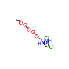 C#CCOCCOCCOCCOCCOCCCCC1(CCl)Nc2ccc(Cl)cc2N1